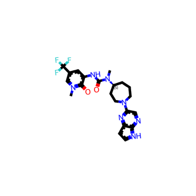 CN(C(=O)Nc1cc(C(F)(F)F)cn(C)c1=O)[C@H]1CCCN(c2cnc3[nH]ccc3n2)CC1